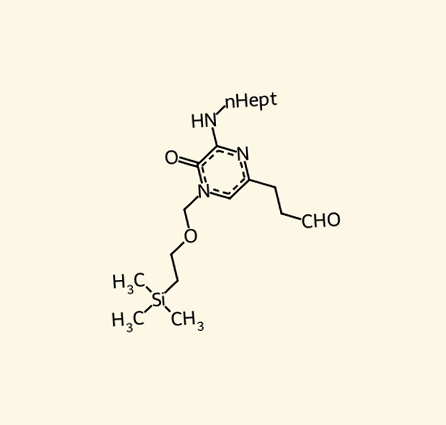 CCCCCCCNc1nc(CCC=O)cn(COCC[Si](C)(C)C)c1=O